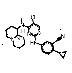 CN(c1nc(Nc2ccc(C3CC3)c(C#N)c2)ncc1Cl)C1CCCN2CCCC[C@H]12